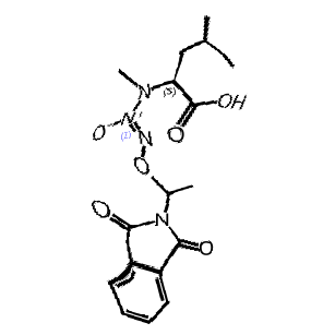 CC(C)C[C@@H](C(=O)O)N(C)/[N+]([O-])=N/OC(C)N1C(=O)c2ccccc2C1=O